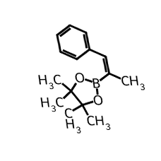 C/C(=C/c1ccccc1)B1OC(C)(C)C(C)(C)O1